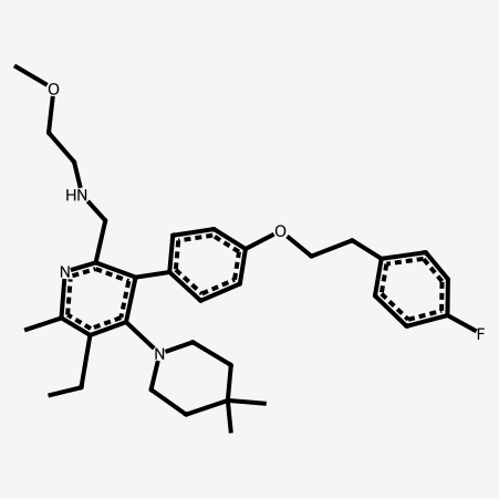 CCc1c(C)nc(CNCCOC)c(-c2ccc(OCCc3ccc(F)cc3)cc2)c1N1CCC(C)(C)CC1